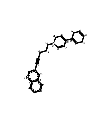 C(#Cc1cnc2ccccc2c1)CCCN1C=CC(C2=CCC=CC2)=CC1